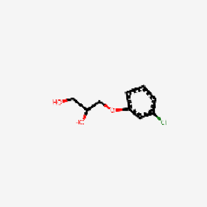 OCC(O)COc1cccc(Cl)c1